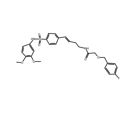 COc1ccc(NS(=O)(=O)c2ccc(C=CCCNC(=O)COCc3ccc(F)cc3)cc2)cc1OC